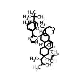 CC(C)[C@@H](C)[C@@]1(C)CC[C@]2(C)[C@H]3CC[C@@H]4[C@@]5(COC[C@@]4(C)[C@@H](OC[C@H](N)C(C)(C)C)[C@H](n4ncnc4-c4ccncc4)C5)C3=CC[C@@]2(C)[C@@H]1C(=O)O